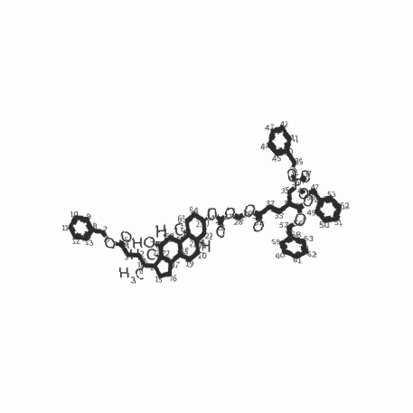 C[C@H](CCC(=O)OCc1ccccc1)C1CCC2C3CC[C@@H]4C[C@H](OC(=O)OCOC(=O)CCC(CP(=O)(OCc5ccccc5)OCc5ccccc5)C(=O)OCc5ccccc5)CC[C@]4(C)C3C[C@H](O)[C@@]21C